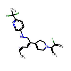 C=C(F)C(=C)N1CC=C(/C(=C/C=C\C)CNc2ccc(C(C)(F)F)nc2)CC1